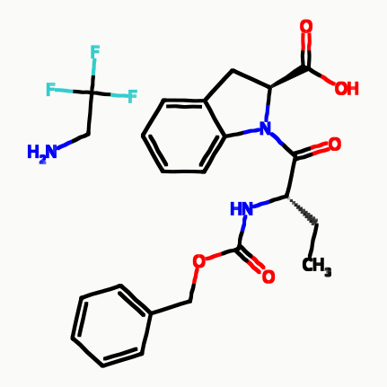 CC[C@H](NC(=O)OCc1ccccc1)C(=O)N1c2ccccc2C[C@H]1C(=O)O.NCC(F)(F)F